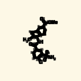 COC(=O)c1ccc2c(c1)nc(C)n2NC(=O)c1ccc(Cl)c(S(N)(=O)=O)c1